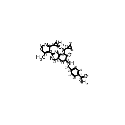 Cc1ncnc(C2CC2)c1-c1ncc2nc(NCc3ccc(C(N)=O)cc3)c(=O)n([C@@H](C)C3CC3)c2n1